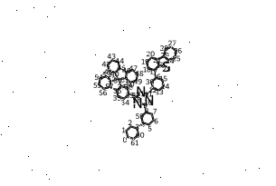 c1ccc(-c2cccc(-c3nc(-c4cccc(-c5cccc6c5sc5ccccc56)c4)nc(-c4ccc5c(c4)C4(c6ccccc6-c6ccccc64)c4ccccc4-5)n3)c2)cc1